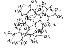 CC1=C(C)C(C)C([Si](c2c(C)c(C)c(N(C)C)c(N(C)C)c2N(C)C)(c2c(C)c(C)c(N(C)C)c(N(C)C)c2N(C)C)c2c(C)c(C)c(N(C)C)c(N(C)C)c2N(C)C)=C1C